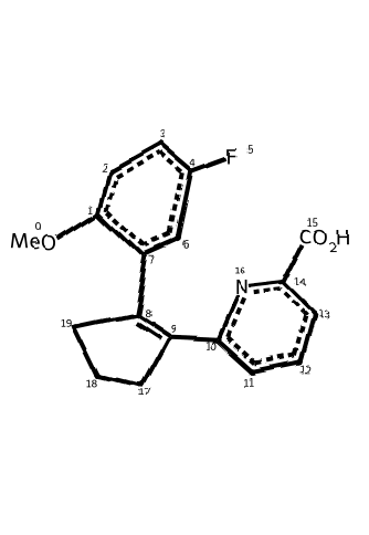 COc1ccc(F)cc1C1=C(c2cccc(C(=O)O)n2)CCC1